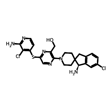 Nc1nccc(Sc2cnc(N3CCC4(CC3)Cc3ccc(Cl)cc3[C@H]4N)c(CO)n2)c1Cl